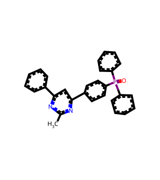 Cc1nc(-c2ccccc2)cc(-c2ccc(P(=O)(c3ccccc3)c3ccccc3)cc2)n1